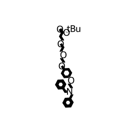 CC(C)(C)OC(=O)CCOCCOCCOC1CCC(OCCN(Cc2ccccc2)Cc2ccccc2)CC1